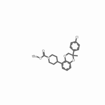 CC(C)(C)OC(=O)N1CCC(c2cccc3c2OCC(C)(c2ccc(Cl)cc2)O3)CC1